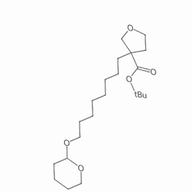 CC(C)(C)OC(=O)C1(CCCCCCCCOC2CCCCO2)CCOC1